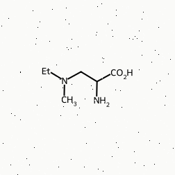 CCN(C)CC(N)C(=O)O